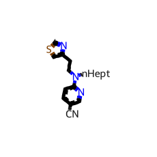 CCCCCCCN(CCc1cs[c]n1)c1ccc(C#N)cn1